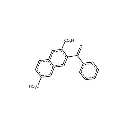 O=C(O)c1ccc2cc(C(=O)O)c(C(=O)c3ccccc3)cc2c1